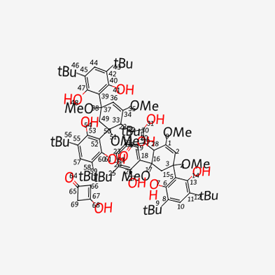 COC1=CC(OC)(c2c(O)c(C(C)(C)C)cc(C(C)(C)C)c2O)CC(OC)(c2c(O)c(C(C)(C)C)cc(C(C)(C)C)c2O)C1C1=C(O)C(C2C(OC)=CC(OC)(c3c(O)c(C(C)(C)C)cc(C(C)(C)C)c3O)CC2(OC)c2c(O)c(C(C)(C)C)cc(C(C)(C)C)c2O)C1=O.O=C1C=C(O)C1